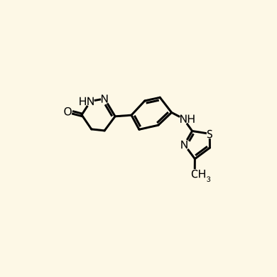 Cc1csc(Nc2ccc(C3=NNC(=O)CC3)cc2)n1